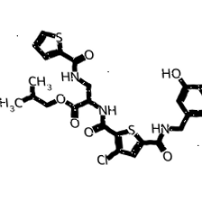 CC(C)COC(=O)C(CNC(=O)c1cccs1)NC(=O)c1sc(C(=O)NCc2cccc(O)c2)cc1Cl